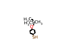 C=C[Si](C)(C)COc1ccc(S)cc1